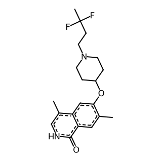 Cc1cc2c(=O)[nH]cc(C)c2cc1OC1CCN(CCC(C)(F)F)CC1